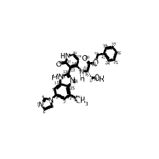 Cc1cc(-n2ccnc2)cc2[nH]c(-c3c(N[C@@H](CO)C(=O)OCc4ccccc4)cc[nH]c3=O)nc12